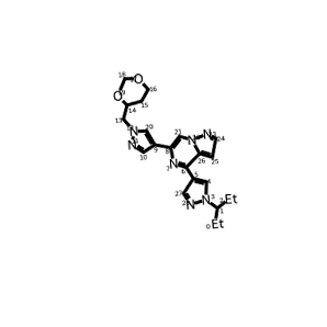 CCC(CC)n1cc(-c2nc(-c3cnn(CC4CCOCO4)c3)cn3nccc23)cn1